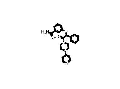 N=C(N)c1cccc(OC(C(=O)N2CCN(c3ccncc3)CC2)c2ccccc2)c1